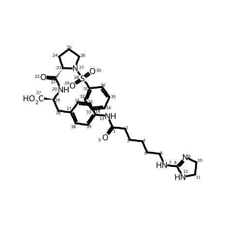 O=C(CCCCCNC1=NCCN1)Nc1ccc(C[C@H](NC(=O)[C@@H]2CCCN2S(=O)(=O)c2ccccc2)C(=O)O)cc1